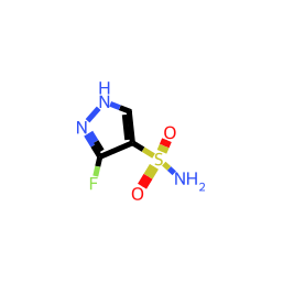 NS(=O)(=O)c1c[nH]nc1F